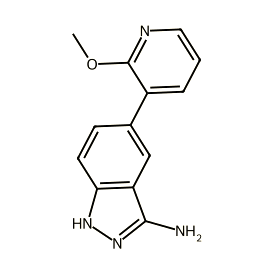 COc1ncccc1-c1ccc2[nH]nc(N)c2c1